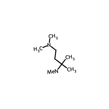 CNC(C)(C)CCN(C)C